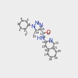 Cc1ccccc1-n1nnc(C(=O)Nc2cc3ccccc3cn2)c1C